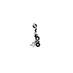 CC1C=CC=CC1(O)S(=O)(=O)N1CCc2sc(OCCCN3CCOCC3)cc2C1